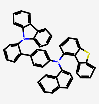 c1ccc(-n2c3ccccc3c3ccccc32)c(-c2ccc(N(c3cccc4ccccc34)c3cccc4sc5ccccc5c34)cc2)c1